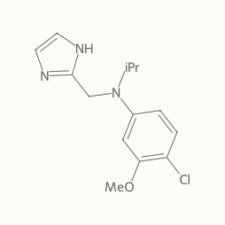 COc1cc(N(Cc2ncc[nH]2)C(C)C)ccc1Cl